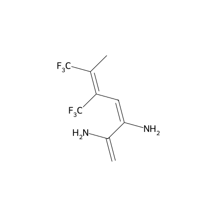 C=C(N)/C(N)=C\C(=C(/C)C(F)(F)F)C(F)(F)F